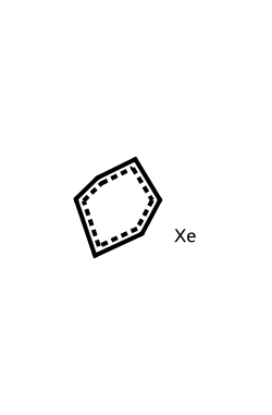 [Xe].c1ccccc1